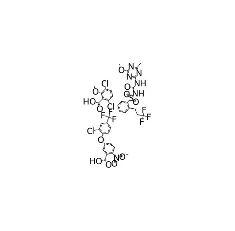 COc1c(Cl)ccc(Cl)c1C(=O)O.COc1nc(C)nc(NC(=O)NS(=O)(=O)c2ccccc2CCC(F)(F)F)n1.O=C(O)c1cc(Oc2ccc(C(F)(F)F)cc2Cl)ccc1[N+](=O)[O-]